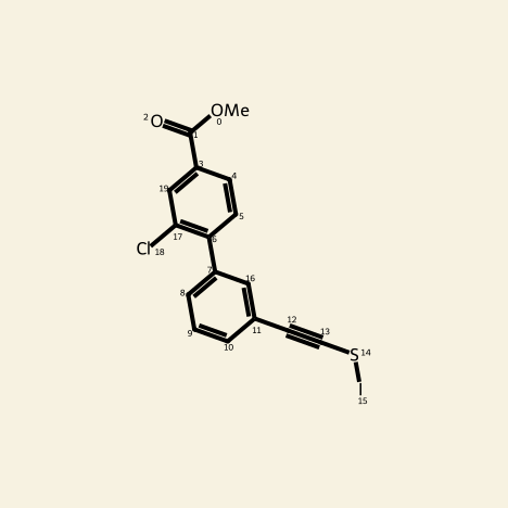 COC(=O)c1ccc(-c2cccc(C#CSI)c2)c(Cl)c1